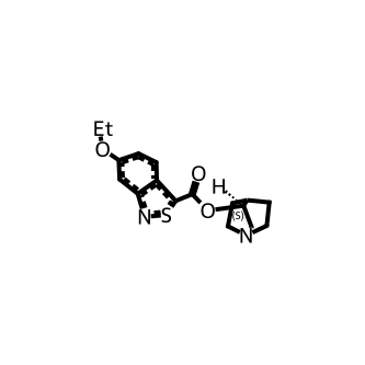 CCOc1ccc2c(C(=O)O[C@@H]3CN4CCC3CC4)snc2c1